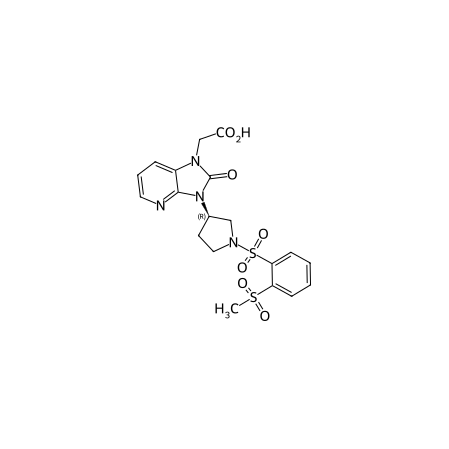 CS(=O)(=O)c1ccccc1S(=O)(=O)N1CC[C@@H](n2c(=O)n(CC(=O)O)c3cccnc32)C1